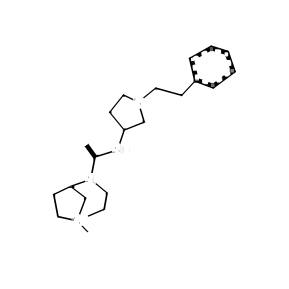 O=C(NC1CCN(CCc2ccccc2)C1)N1CC[N+]2([O-])CCC1C2